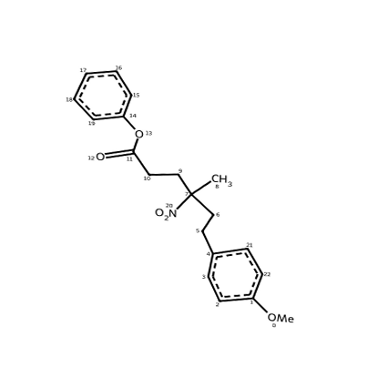 COc1ccc(CCC(C)(CCC(=O)Oc2ccccc2)[N+](=O)[O-])cc1